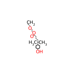 C=CCOCCOC(=O)CCCC(C)(C)c1ccc(O)cc1